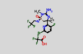 CN1C(N)=N[C@](C)(c2nc(Br)ccc2F)C[S@@]1(=O)=NCC(F)(F)F.O=C(O)C(F)(F)F